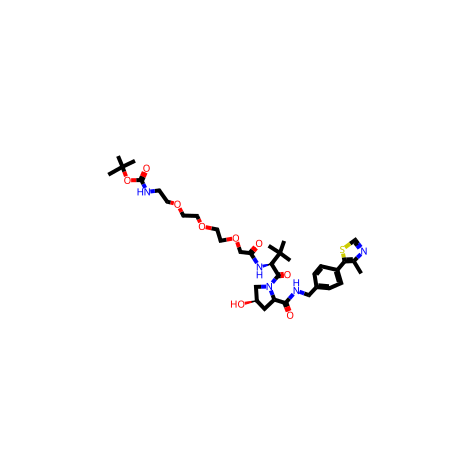 Cc1ncsc1-c1ccc(CNC(=O)C2C[C@@H](O)CN2C(=O)[C@@H](NC(=O)COCCOCCOCCNC(=O)OC(C)(C)C)C(C)(C)C)cc1